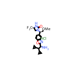 COC[C@@H](c1ccc2oc([C@@H](N)C(C3CC3)C3CC3)nc2c1)N1C[C@@H](C(F)(F)F)NC1=O.Cl